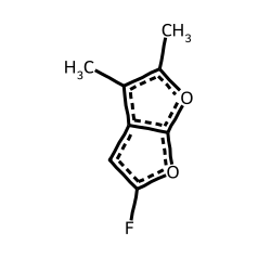 Cc1oc2oc(F)cc2c1C